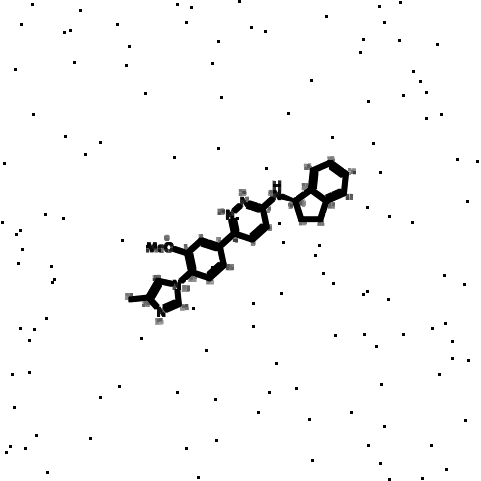 COc1cc(-c2ccc(N[C@@H]3CCc4ccccc43)nn2)ccc1-n1cnc(C)c1